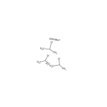 CC(C)[O-].CC(C)[O-].CC(C)[O-].[O]=[Mo+3]